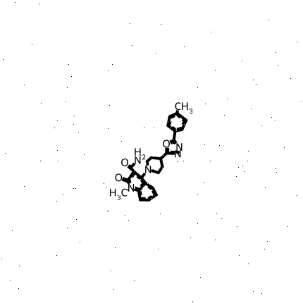 Cc1ccc(-c2nnc(C3CCN(c4c(C(N)=O)c(=O)n(C)c5ccccc45)CC3)o2)cc1